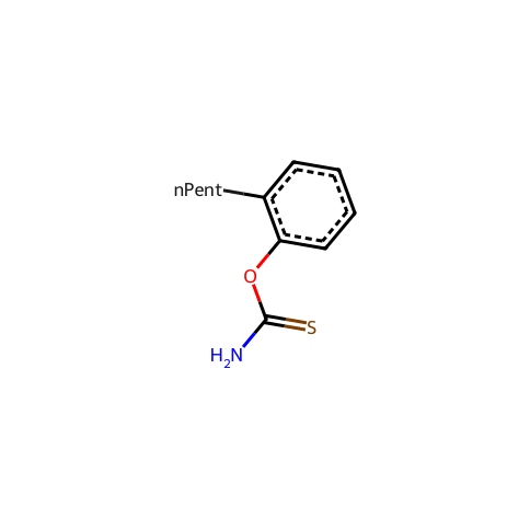 CCCCCc1ccccc1OC(N)=S